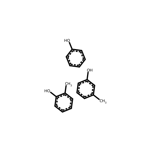 Cc1cccc(O)c1.Cc1ccccc1O.Oc1ccccc1